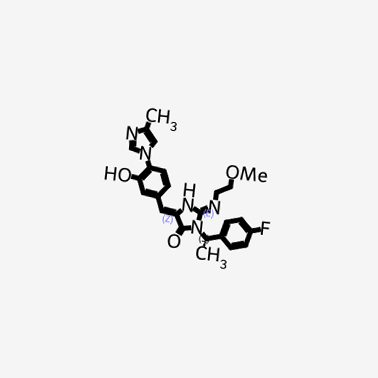 COCC/N=C1\N/C(=C\c2ccc(-n3cnc(C)c3)c(O)c2)C(=O)N1[C@@H](C)c1ccc(F)cc1